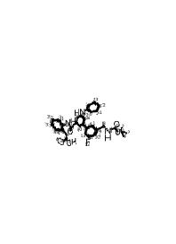 CC(C)(C)OC(=O)NCc1cc(F)cc(-c2cc(Nc3ccccc3)cc(C(=O)Nc3ccccc3CC(=O)O)c2)c1